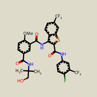 COc1ccc(C(=O)NC(C)(C)CO)cc1C(=O)Nc1c(C(=O)Nc2ccc(F)c(C(F)(F)F)c2)sc2cc(C(F)(F)F)ccc12